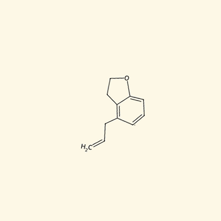 C=CCc1[c]ccc2c1CCO2